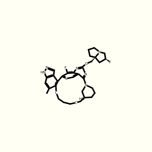 Cc1cc2[nH]ncc2c2c1CCCCCC[C@@]1(O)CCCN(C1)c1nc(OC[C@@]34CCCN3C[C@@H](F)C4)nc3c(F)c-2ncc13